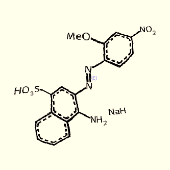 COc1cc([N+](=O)[O-])ccc1/N=N/c1cc(S(=O)(=O)O)c2ccccc2c1N.[NaH]